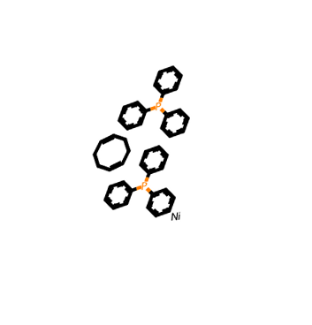 C1=CCCC=CCC1.[Ni].c1ccc(P(c2ccccc2)c2ccccc2)cc1.c1ccc(P(c2ccccc2)c2ccccc2)cc1